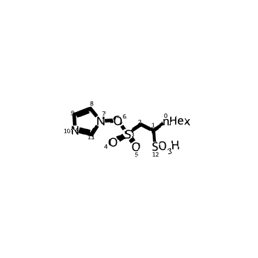 CCCCCCC(CS(=O)(=O)On1ccnc1)S(=O)(=O)O